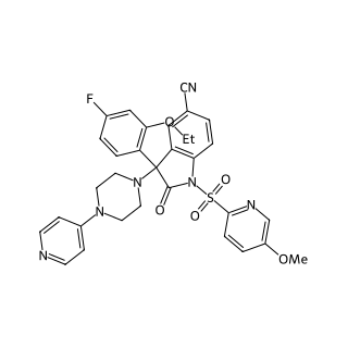 CCOc1cc(F)ccc1C1(N2CCN(c3ccncc3)CC2)C(=O)N(S(=O)(=O)c2ccc(OC)cn2)c2ccc(C#N)cc21